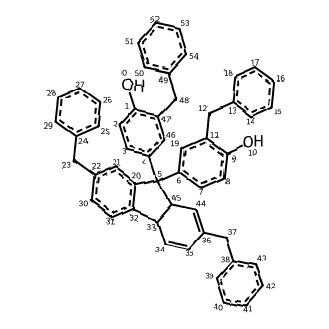 Oc1ccc(C2(c3ccc(O)c(Cc4ccccc4)c3)c3cc(Cc4ccccc4)ccc3C3C=CC(Cc4ccccc4)=CC32)cc1Cc1ccccc1